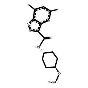 CCCCCO[C@H]1CC[C@H](NC(=O)c2nsc3c(C)cc(C)nc23)CC1